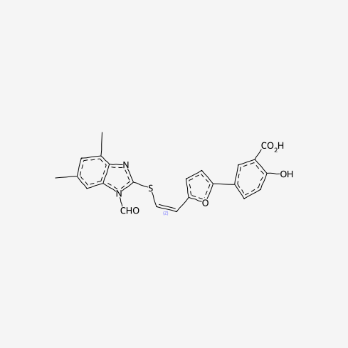 Cc1cc(C)c2nc(S/C=C\c3ccc(-c4ccc(O)c(C(=O)O)c4)o3)n(C=O)c2c1